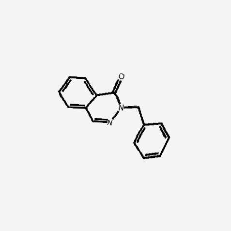 O=c1c2ccccc2cnn1Cc1ccccc1